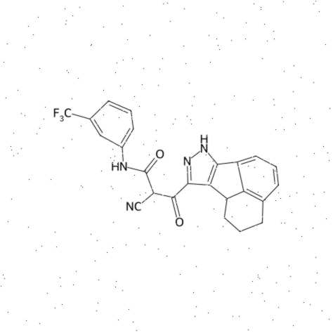 N#CC(C(=O)Nc1cccc(C(F)(F)F)c1)C(=O)c1n[nH]c2c1C1CCCc3cccc-2c31